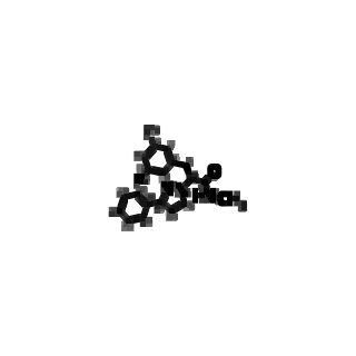 CNC(=O)[C@H](Cc1cc(F)cc(F)c1)n1ccc(-c2ccccc2)n1